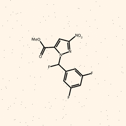 COC(=O)c1cc([N+](=O)[O-])nn1C(F)c1cc(F)cc(F)c1